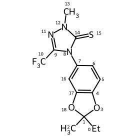 CCC1(C)Oc2ccc(-n3c(C(F)(F)F)nn(C)c3=S)cc2O1